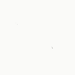 Cc1nc2ccc(O[C@H]3CO[C@H](c4ccccc4)OC3)cc2o1